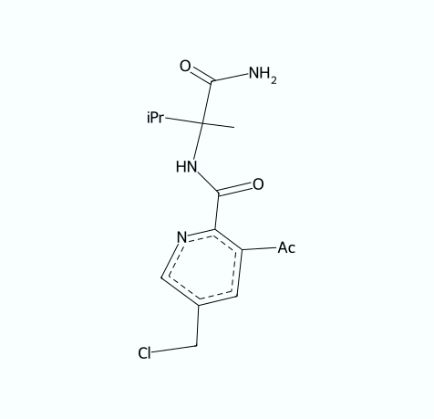 CC(=O)c1cc(CCl)cnc1C(=O)NC(C)(C(N)=O)C(C)C